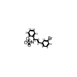 O=S1(=O)N=C(C=Cc2cccc(Br)c2)c2ccccc2O1